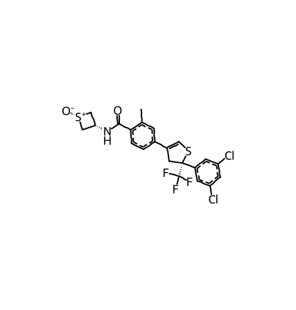 Cc1cc(C2=CS[C@](c3cc(Cl)cc(Cl)c3)(C(F)(F)F)C2)ccc1C(=O)N[C@H]1C[S@@+]([O-])C1